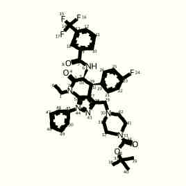 CCN1C(=O)[C@@H](NC(=O)c2cccc(C(F)(F)F)c2)[C@@H](c2ccc(F)cc2)c2c(CN3CCN(C(=O)OC(C)(C)C)CC3)nn(-c3ccccc3)c21